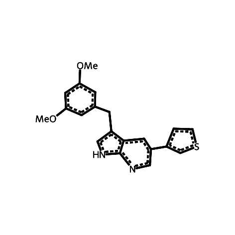 COc1cc(Cc2c[nH]c3ncc(-c4ccsc4)cc23)cc(OC)c1